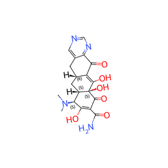 CN(C)[C@@H]1C(O)=C(C(N)=O)C(=O)[C@@]2(O)C(O)=C3C(=O)c4ncncc4C[C@H]3C[C@@H]12